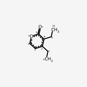 CCc1ccoc(=O)c1CC